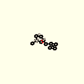 c1ccc(-c2nc(-c3ccccc3)nc(-c3cccc4oc5ccc(-c6ncc(-c7cccc(-c8ccc9c(c8)C8(c%10ccccc%10-c%10ccccc%108)c8ccccc8-9)c7)cn6)cc5c34)n2)cc1